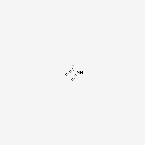 C=N.C=N